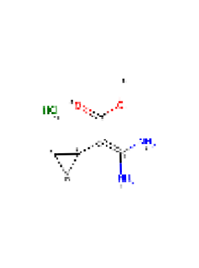 COC(=O)C(=C(N)N)C1CC1.Cl